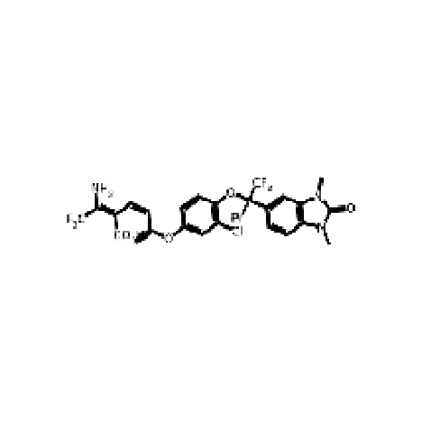 C=C(/C=C\C(C(=O)O)=C(/N)C(F)(F)F)Oc1ccc(O[C@](c2ccc3c(c2)n(C)c(=O)n3C)(C(C)C)C(F)(F)F)c(Cl)c1